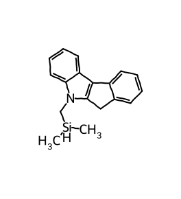 C[SiH](C)Cn1c2c(c3ccccc31)-c1ccccc1C2